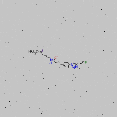 O=C(CCCc1ccc(-n2cc(CCCF)nn2)cc1)NCCCC[C@H](I)C(=O)O